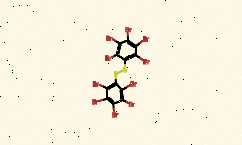 Brc1c(Br)c(Br)c(SSc2c(Br)c(Br)c(Br)c(Br)c2Br)c(Br)c1Br